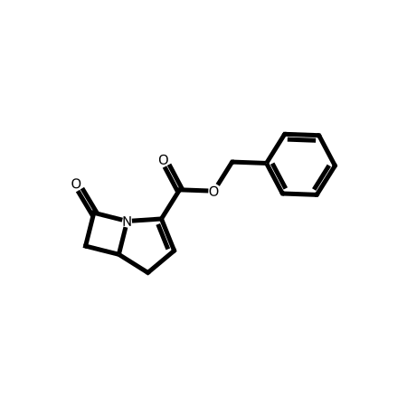 O=C(OCc1ccccc1)C1=CCC2CC(=O)N12